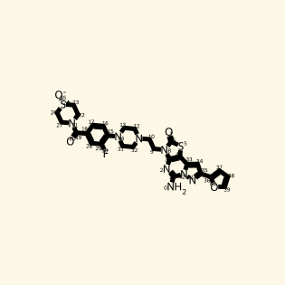 Nc1nc2c(sc(=O)n2CCN2CCN(c3ccc(C(=O)N4CC[S+]([O-])CC4)cc3F)CC2)c2cc(-c3ccco3)nn12